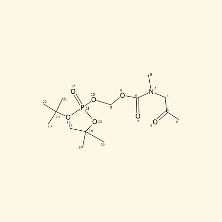 CC(=O)CN(C)C(=O)OCOP(=O)(OC(C)(C)C)OC(C)(C)C